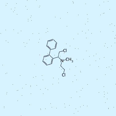 CN(CCCl)C(CCl)c1ccccc1-c1ccccc1